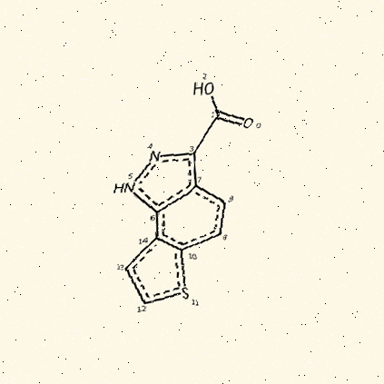 O=C(O)c1n[nH]c2c1ccc1sccc12